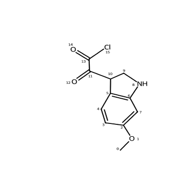 COc1ccc2c(c1)NCC2C(=O)C(=O)Cl